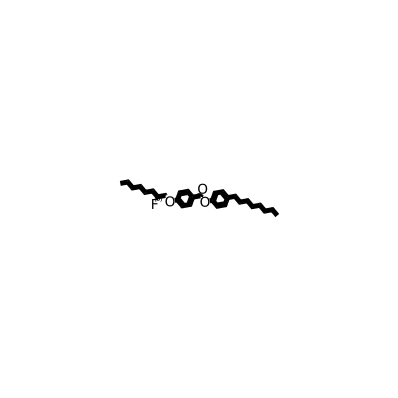 CCCCCCCCc1ccc(OC(=O)c2ccc(OC[C@@H](F)CCCCCC)cc2)cc1